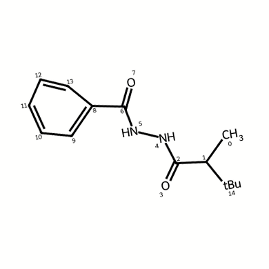 CC(C(=O)NNC(=O)c1ccccc1)C(C)(C)C